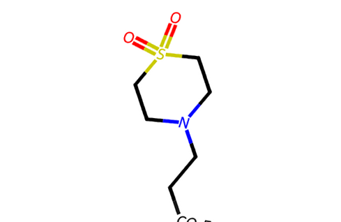 CCOC(=O)CCN1CCS(=O)(=O)CC1